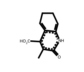 Cc1c(C(=O)O)c2c([nH]c1=O)=CCCC=2